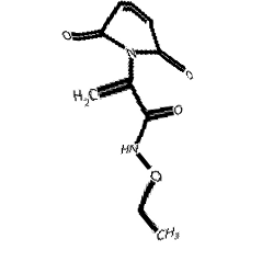 C=C(C(=O)NOCC)N1C(=O)C=CC1=O